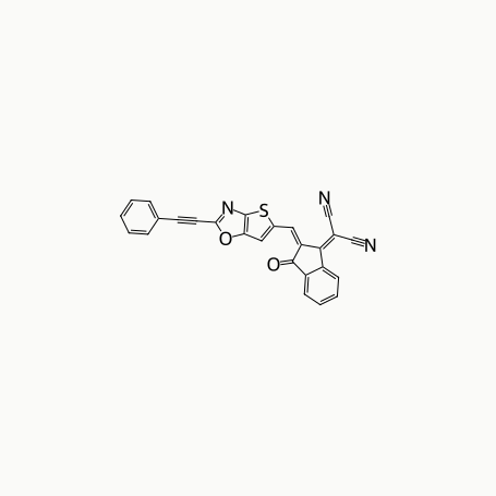 N#CC(C#N)=C1/C(=C/c2cc3oc(C#Cc4ccccc4)nc3s2)C(=O)c2ccccc21